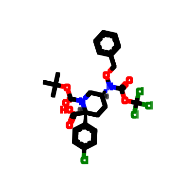 CC(C)(C)OC(=O)N1C[C@H](N(OCc2ccccc2)C(=O)OC(Cl)(Cl)Cl)CC[C@@]1(C(=O)O)c1ccc(Cl)cc1